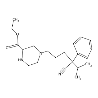 CCOC(=O)C1CN(CCCC(C#N)(c2ccccc2)C(C)C)CCN1